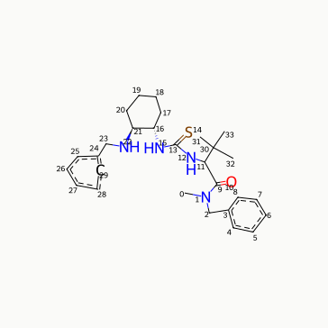 CN(Cc1ccccc1)C(=O)C(NC(=S)N[C@H]1CCCC[C@@H]1NCc1ccccc1)C(C)(C)C